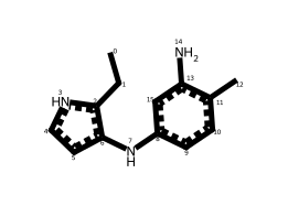 CCc1[nH]ccc1Nc1ccc(C)c(N)c1